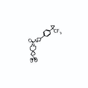 O=C(N1CCC2(CC1)CS(=O)(=O)C2)N1CC(c2ccc(C3(C(F)(F)F)CC3)cc2)C1